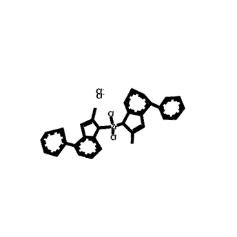 CC1=Cc2c(-c3ccccc3)cccc2[CH]1[Zr]([Cl])([Cl])[CH]1C(C)=Cc2c(-c3ccccc3)cccc21.[Cl-].[Cl-]